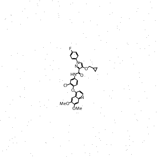 COc1cc2nccc(Oc3ccc(NC(=O)c4nn(-c5ccc(F)cc5)cc4OCC4CC4)cc3Cl)c2cc1OC